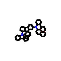 c1ccc(-c2ccccc2N(c2ccc3c(c2)C2(c4c-3cccc4-n3c4ccccc4c4ccccc43)C3CC4CC(C3)CC2C4)c2ccc3ccccc3c2)cc1